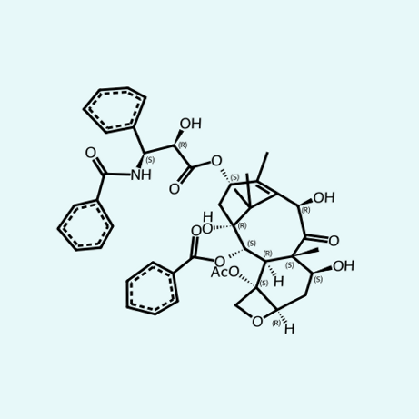 CC(=O)O[C@@]12CO[C@@H]1C[C@H](O)[C@@]1(C)C(=O)[C@H](O)C3=C(C)[C@@H](OC(=O)[C@H](O)[C@@H](NC(=O)c4ccccc4)c4ccccc4)C[C@](O)([C@@H](OC(=O)c4ccccc4)[C@H]21)C3(C)C